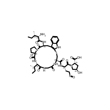 CC[C@H](C)[C@H](N)C(=O)N[C@H]1Cc2c([nH]c3ccccc23)SC[C@@H](C(=O)N[C@@H](CCN=O)C(=O)N2C[C@H](O)C[C@H]2C(=O)O)NC(=O)CNC(=O)[C@H]([C@@H](C)CC)NC(=O)[C@H]2CCCN2C1=O